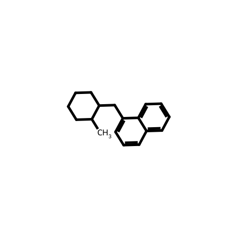 C[C]1CCCCC1Cc1cccc2ccccc12